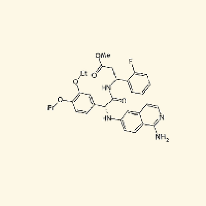 CCOc1cc([C@@H](Nc2ccc3c(N)nccc3c2)C(=O)NC(CC(=O)OC)c2ccccc2F)ccc1OC(C)C